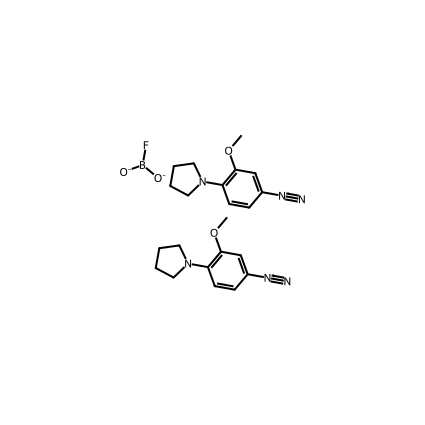 COc1cc([N+]#N)ccc1N1CCCC1.COc1cc([N+]#N)ccc1N1CCCC1.[O-]B([O-])F